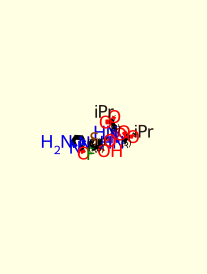 CC(C)OC(=O)[C@H](C)NP(=O)(N[C@@H](C)C(=O)OC(C)C)OC[C@H]1S[C@@H](n2ccc(N)nc2=O)[C@@H](F)[C@@H]1O